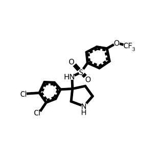 O=S(=O)(NC1(c2ccc(Cl)c(Cl)c2)CCNC1)c1ccc(OC(F)(F)F)cc1